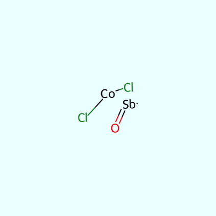 [Cl][Co][Cl].[O]=[Sb]